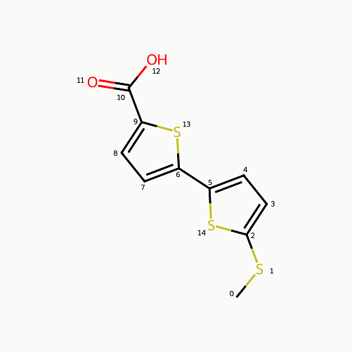 CSc1ccc(-c2ccc(C(=O)O)s2)s1